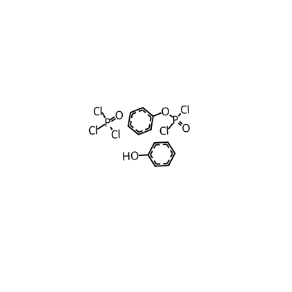 O=P(Cl)(Cl)Cl.O=P(Cl)(Cl)Oc1ccccc1.Oc1ccccc1